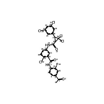 CC(=O)c1ccc(NC(=O)c2cc(NC(=O)C3C(c4cc(Cl)cc(Cl)c4)C3(Cl)Cl)ccc2Cl)c(F)c1